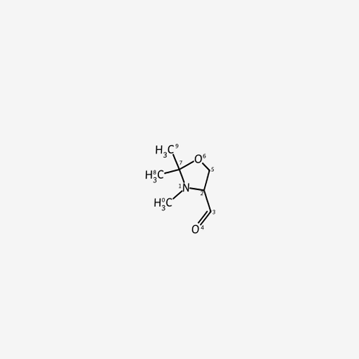 CN1C(C=O)COC1(C)C